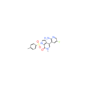 Cc1ccc(S(=O)(=O)n2ccc3c(-c4cc(F)cnc4N)cn(C)c(=O)c32)cc1